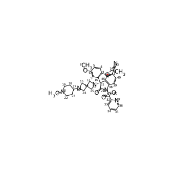 CCOc1ccc(OC)cc1[C@]1(N2CC3(CN(C4CCN(C)CC4)C3)C2)C(=O)N(S(=O)(=O)c2ccccn2)c2ccc(C#N)cc21